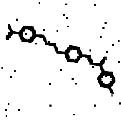 C=C(C)c1ccc(CCCCc2ccc(/C=C/C(=O)c3ccc(F)cc3)cc2)cc1